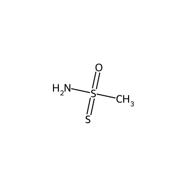 CS(N)(=O)=S